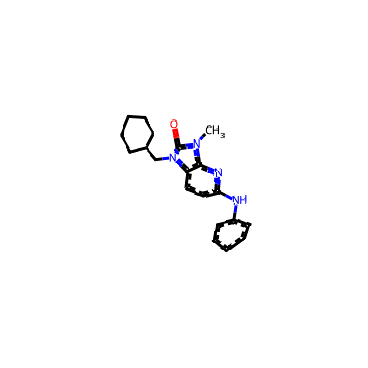 Cn1c(=O)n(CC2CCCCC2)c2ccc(Nc3ccccc3)nc21